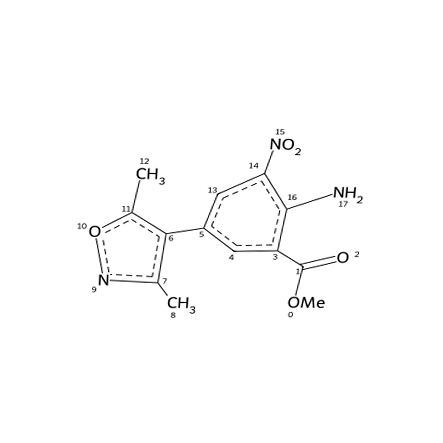 COC(=O)c1cc(-c2c(C)noc2C)cc([N+](=O)[O-])c1N